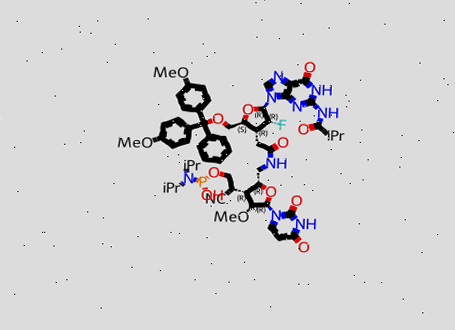 COc1ccc(C(OC[C@H]2O[C@@H](n3cnc4c(=O)[nH]c(NC(=O)C(C)C)nc43)[C@H](F)[C@@H]2CC(=O)NC[C@@H]2O[C@@H](n3ccc(=O)[nH]c3=O)[C@H](OC)[C@@H]2C(C#N)COP(O)N(C(C)C)C(C)C)(c2ccccc2)c2ccc(OC)cc2)cc1